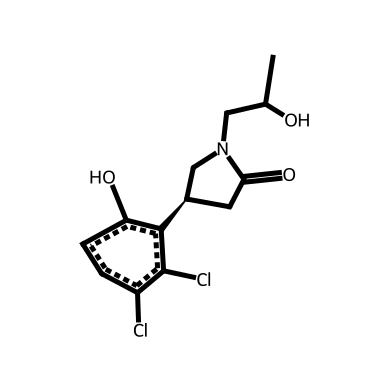 CC(O)CN1C[C@H](c2c(O)ccc(Cl)c2Cl)CC1=O